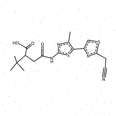 Cc1nc(NC(=O)CC(C(=O)O)C(C)(C)C)sc1-c1csc(CC#N)n1